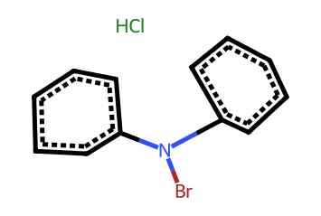 BrN(c1ccccc1)c1ccccc1.Cl